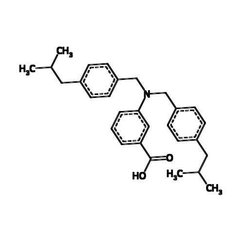 CC(C)Cc1ccc(CN(Cc2ccc(CC(C)C)cc2)c2cccc(C(=O)O)c2)cc1